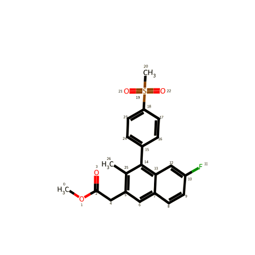 COC(=O)Cc1cc2ccc(F)cc2c(-c2ccc(S(C)(=O)=O)cc2)c1C